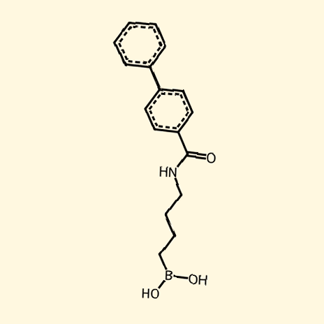 O=C(NCCCCB(O)O)c1ccc(-c2ccccc2)cc1